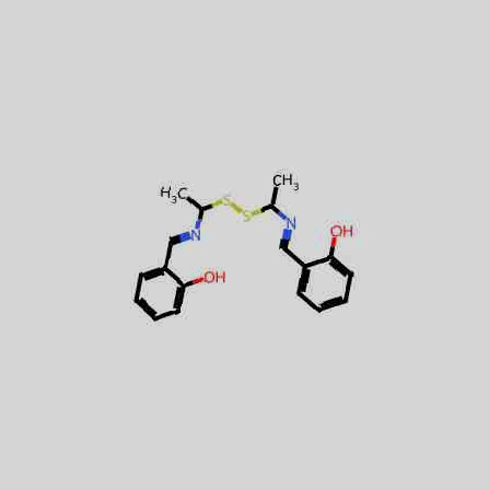 CC(N=Cc1ccccc1O)SSC(C)N=Cc1ccccc1O